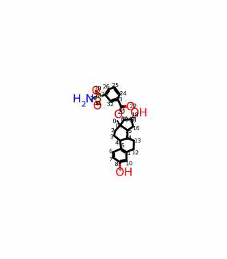 C[C@]12CCC3c4ccc(O)cc4CCC3C1C[C@@H](O)[C@@H]2OC(=O)c1cccc(S(N)(=O)=O)c1